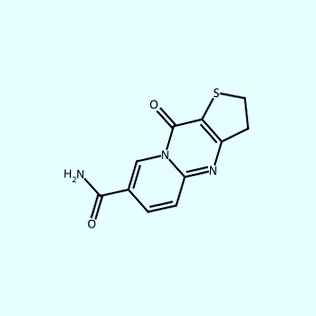 NC(=O)c1ccc2nc3c(c(=O)n2c1)SCC3